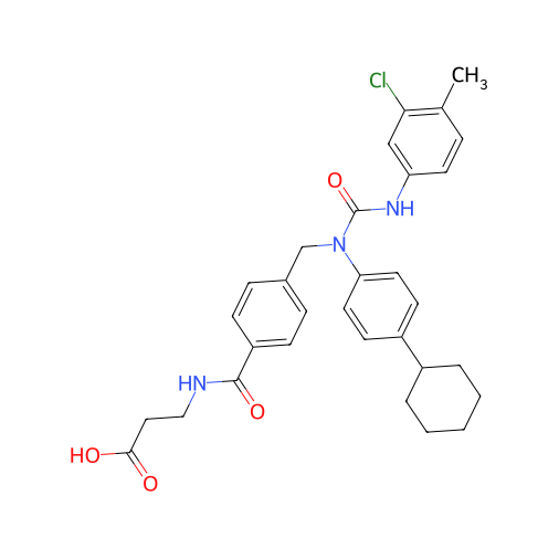 Cc1ccc(NC(=O)N(Cc2ccc(C(=O)NCCC(=O)O)cc2)c2ccc(C3CCCCC3)cc2)cc1Cl